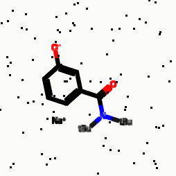 CC(C)(C)N(C(=O)c1cccc([O-])c1)C(C)(C)C.[Na+]